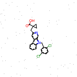 O=C(O)C1(Cc2cc3c4ccccc4n(Cc4cc(Cl)ccc4Cl)c3cn2)CC1